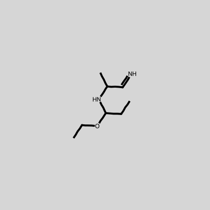 CCOC(CC)NC(C)C=N